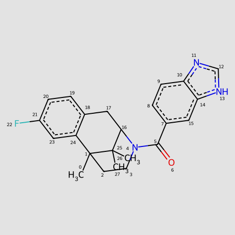 CC12CCN(C(=O)c3ccc4nc[nH]c4c3)C(Cc3ccc(F)cc31)C2(C)C